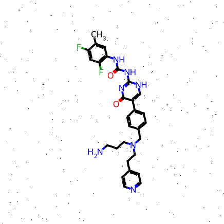 Cc1cc(NC(=O)Nc2nc(=O)c(-c3ccc(CN(CCCN)CCc4ccncc4)cc3)c[nH]2)c(F)cc1F